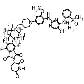 [2H]C1([2H])N(CC2CCN(c3ccc(Nc4ncc(Cl)c(Nc5ccccc5P(C)(C)=O)n4)c(OC)c3)CC2)C([2H])([2H])C([2H])([2H])N(c2c(F)c(F)c3c(c2F)C(=O)N(C2CCC(=O)NC2=O)C3=O)C1([2H])[2H]